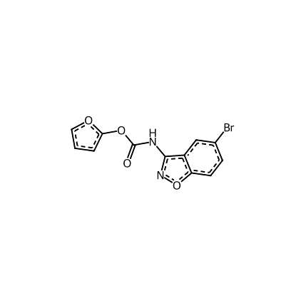 O=C(Nc1noc2ccc(Br)cc12)Oc1ccco1